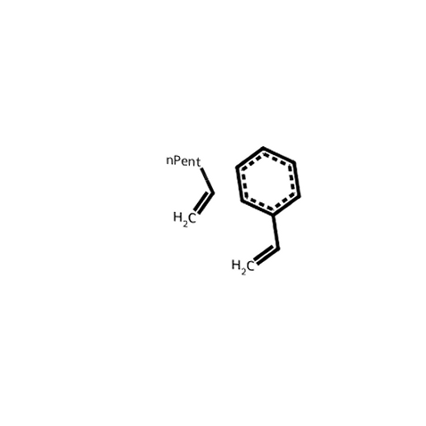 C=CCCCCC.C=Cc1ccccc1